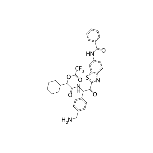 NCc1ccc(C(NC(=O)C(OC(=O)C(F)(F)F)C2CCCCC2)C(=O)c2nc3ccc(NC(=O)c4ccccc4)cc3s2)cc1